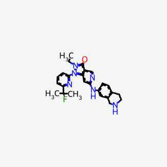 CCn1c(=O)c2cnc(Nc3ccc4c(c3)CNCC4)cc2n1-c1cccc(C(C)(C)F)n1